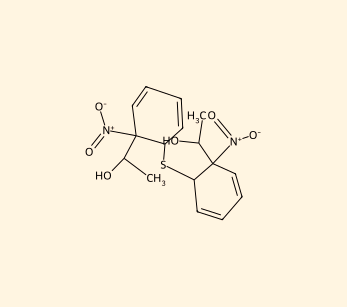 CC(O)C1([N+](=O)[O-])C=CC=CC1SC1C=CC=CC1(C(C)O)[N+](=O)[O-]